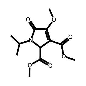 COC(=O)C1=C(OC)C(=O)N(C(C)C)C1C(=O)OC